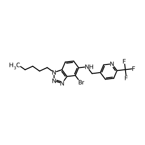 CCCCCn1nnc2c(Br)c(NCc3ccc(C(F)(F)F)nc3)ccc21